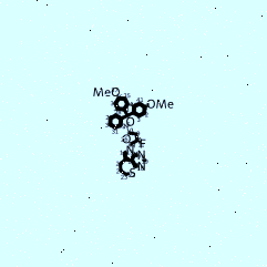 COc1ccc(C(OC[C@@H]2C[C@@H](F)[C@H](n3cc4c5c(ncnc53)SCCC4)O2)(c2ccccc2)c2ccc(OC)cc2)cc1